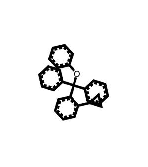 c1ccc(OC(c2ccccc2)(c2ccccc2)c2ccccc2C2CC2)cc1